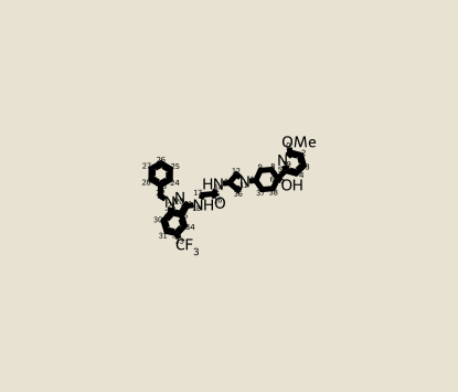 COc1cccc(C2(O)CCC(N3CC(NC(=O)CNc4nn(Cc5ccccc5)c5ccc(C(F)(F)F)cc45)C3)CC2)n1